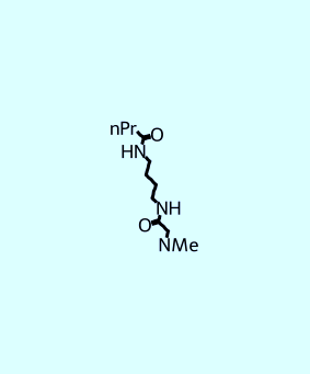 CCCC(=O)NCCCCNC(=O)CNC